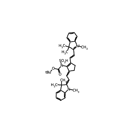 CN1/C(=C/C=C2\CCC(/C=C/C3=[N+](C)c4ccccc4C3(C)C)=C2N(C(=O)OC(C)(C)C)S(=O)(=O)O)C(C)(C)c2ccccc21